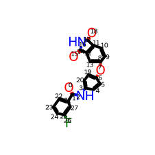 O=C(Nc1ccc(Oc2ccc3c(c2)C(=O)NC3=O)cc1)c1cccc(F)c1